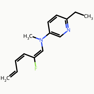 C=C/C=C\C(F)=C/N(C)c1ccc(CC)nc1